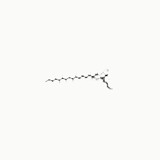 CCCCCCCCCCCCCCC(O)C[N+](C)(C)C(CCCC)C(=O)[O-]